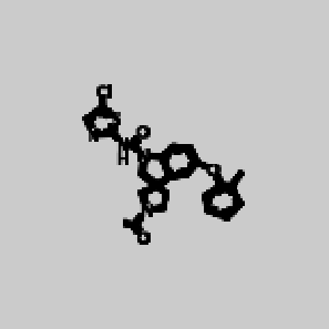 CC(=O)N1CCC2(C1)CN(C(=O)Nc1ncc(Cl)s1)c1ccc(Oc3ccccc3C)cc12